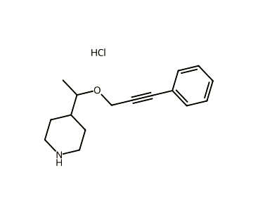 CC(OCC#Cc1ccccc1)C1CCNCC1.Cl